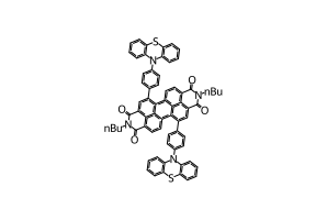 CCCCN1C(=O)c2ccc3c4c(-c5ccc(N6c7ccccc7Sc7ccccc76)cc5)cc5c6c(ccc(c7c(-c8ccc(N9c%10ccccc%10Sc%10ccccc%109)cc8)cc(c2c37)C1=O)c64)C(=O)N(CCCC)C5=O